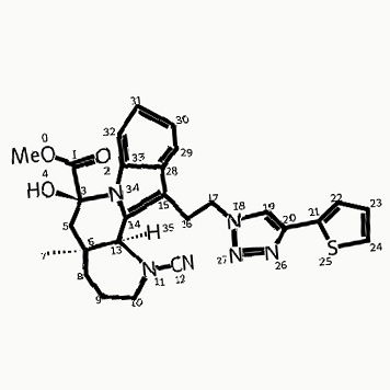 COC(=O)[C@@]1(O)C[C@]2(C)CCCN(C#N)[C@@H]2c2c(CCn3cc(-c4cccs4)nn3)c3ccccc3n21